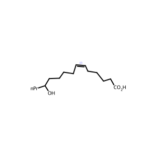 CCCC(O)CCCC/C=C\CCCCC(=O)O